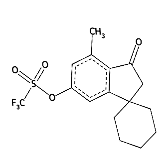 Cc1cc(OS(=O)(=O)C(F)(F)F)cc2c1C(=O)CC21CCCCC1